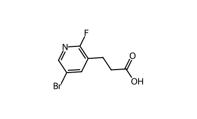 O=C(O)CCc1cc(Br)cnc1F